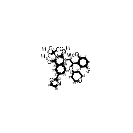 COc1ccc(F)cc1C(Cn1c(=O)n(C(C)(C)C(=O)O)c(=O)c2cc(-c3ncco3)ccc21)OC1CCOCC1